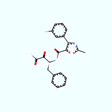 Cc1nc(-c2cccc(F)c2)c(C(=O)N[C@@H](Cc2ccccc2)C(=O)C(N)=O)o1